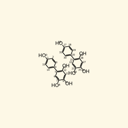 Oc1ccc(-c2cc(O)c(O)cc2O)cc1.Oc1ccc(-c2cc(O)c(O)cc2O)cc1